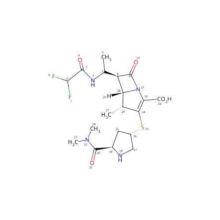 CC(NC(=O)C(F)F)[C@H]1C(=O)N2C(C(=O)O)=C(S[C@@H]3CN[C@@H](C(=O)N(C)C)C3)[C@H](C)[C@H]12